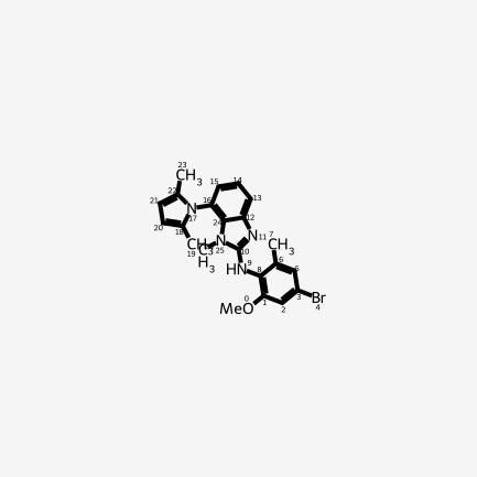 COc1cc(Br)cc(C)c1Nc1nc2cccc(-n3c(C)ccc3C)c2n1C